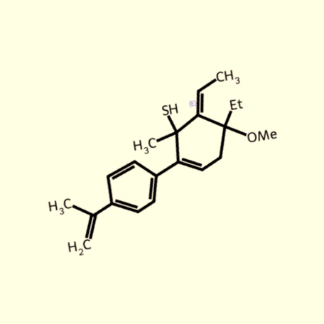 C=C(C)c1ccc(C2=CCC(CC)(OC)/C(=C\C)C2(C)S)cc1